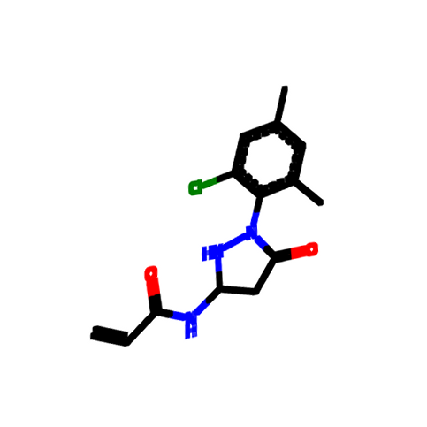 C=CC(=O)NC1CC(=O)N(c2c(C)cc(C)cc2Cl)N1